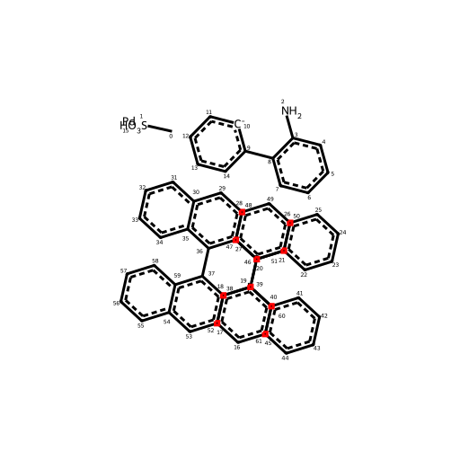 CS(=O)(=O)O.Nc1ccccc1-c1[c-]cccc1.[Pd].c1ccc(P(c2ccccc2)c2ccc3ccccc3c2-c2c(P(c3ccccc3)c3ccccc3)ccc3ccccc23)cc1